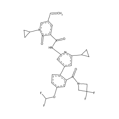 C=Cc1cc(C(=O)Nc2cc(-c3ccc(OC(F)F)cc3C(=O)N3CC(F)(F)C3)cc(C3CC3)n2)c(=O)n(C2CC2)c1